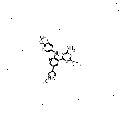 COc1ccc(Nc2ncc(C3C=NN(C)C3)cc2-c2nc(C)nc(N)n2)cn1